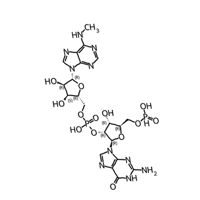 CNc1ncnc2c1ncn2[C@@H]1O[C@H](COP(=O)(O)O[C@@H]2[C@H](O)[C@@H](CO[PH](=O)O)O[C@H]2n2cnc3c(=O)[nH]c(N)nc32)[C@@H](O)[C@H]1O